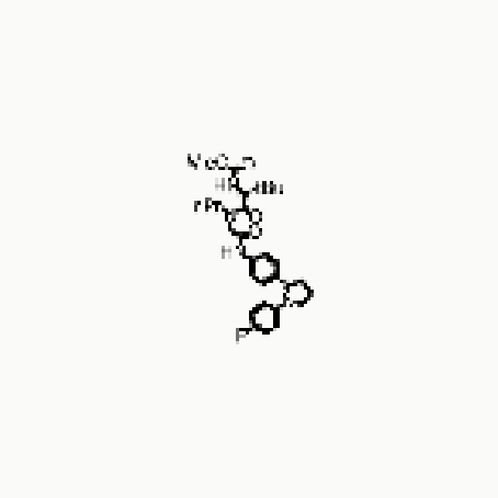 CCCN(CC(=O)Nc1ccc([C@H]2CCCN2c2ccc(F)cc2)cc1)C(=O)[C@@H](NC(=O)OC)C(C)(C)C